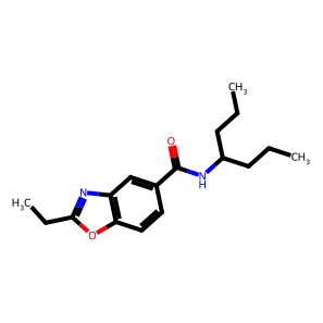 CCCC(CCC)NC(=O)c1ccc2oc(CC)nc2c1